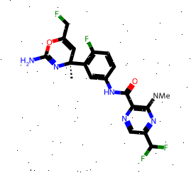 CNc1nc(C(F)F)cnc1C(=O)Nc1ccc(F)c([C@]2(C)C=C(CF)OC(N)=N2)c1